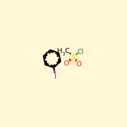 CS(=O)(=O)Cl.Ic1ccccc1